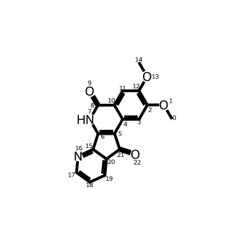 COc1cc2c3c([nH]c(=O)c2cc1OC)-c1ncccc1C3=O